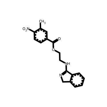 Cc1cc(C(=O)OCCNC2=NCc3ccccc32)ccc1[N+](=O)[O-]